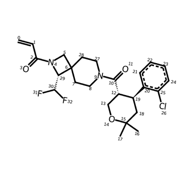 C=CC(=O)N1CC2(CCN(C(=O)[C@H]3COC(C)(C)C[C@@H]3c3ccccc3Cl)CC2)[C@@H]1C(F)F